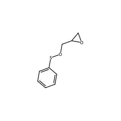 c1ccc(SOCC2CO2)cc1